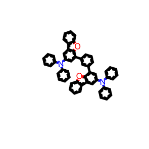 c1ccc(N(c2ccccc2)c2cc(-c3cccc(-c4cc(N(c5ccccc5)c5ccccc5)cc5c4oc4ccccc45)c3)c3oc4ccccc4c3c2)cc1